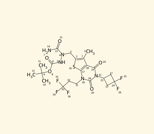 Cc1c(CN(NC(=O)OC(C)(C)C)C(N)=O)sc2c1c(=O)n(C1CC(F)(F)C1)c(=O)n2CCC(F)(F)F